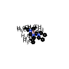 Cc1cc2c3c(c1)N(c1ccc4c(c1)C(C)(C)c1ccccc1-4)c1cc(N(c4cc(-c5ccccc5)ccc4C)c4cc(-c5ccccc5)ccc4C)ccc1B3c1cc(C(C)(C)C)ccc1N2c1ccc(C(C)(C)C)cc1